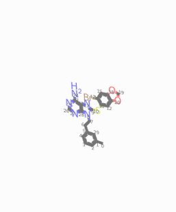 Cc1cccc(CCn2c(Sc3cc4c(cc3Br)OCO4)nc3c(N)ncnc32)c1